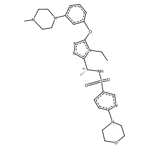 CCn1c(Oc2cccc(N3CCN(C)CC3)c2)nnc1[C@@H](C)NS(=O)(=O)c1ccc(N2CCOCC2)nc1